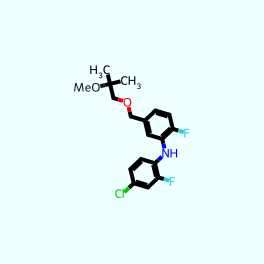 COC(C)(C)COCc1ccc(F)c(Nc2ccc(Cl)cc2F)c1